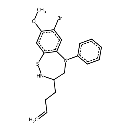 C=CCCC1CN(c2ccccc2)c2cc(Br)c(OC)cc2SN1